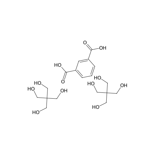 O=C(O)c1cccc(C(=O)O)c1.OCC(CO)(CO)CO.OCC(CO)(CO)CO